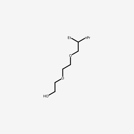 CCCC(CC)COCCOCCO